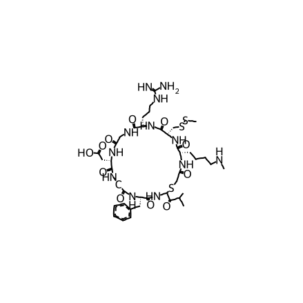 CNCCCC[C@@H]1NC(=O)CSC(C(=O)C(C)C)NC(=O)[C@H](Cc2ccccc2)NC(=O)CNC(=O)[C@H](CC(=O)O)NC(=O)CNC(=O)[C@H](CCCNC(=N)N)NC(=O)[C@H](CSSC)NC1=O